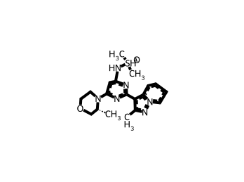 Cc1nn2ccccc2c1-c1nc(N[SH](C)(C)=O)cc(N2CCOC[C@H]2C)n1